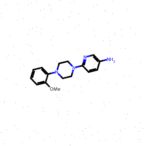 COc1ccccc1N1CCN(c2ccc(N)cn2)CC1